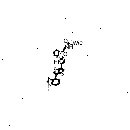 COC(=O)NCC(=O)N1CCC[C@H]1c1ncc(-c2csc3c(-c4cccc5[nH]cnc45)csc23)[nH]1